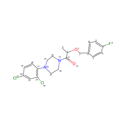 CC(OCc1ccc(F)cc1)C(=O)N1CCN(c2ccc(Cl)cc2Cl)CC1